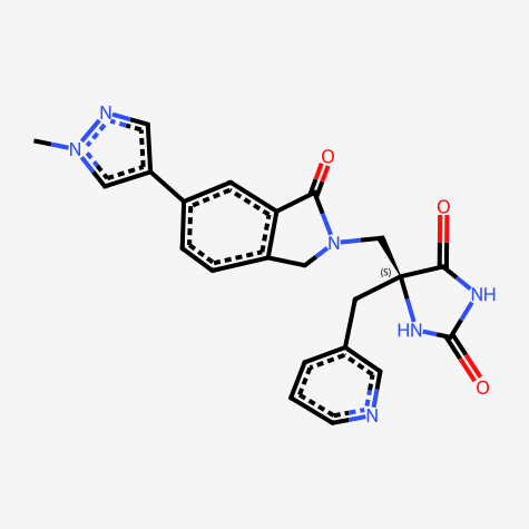 Cn1cc(-c2ccc3c(c2)C(=O)N(C[C@]2(Cc4cccnc4)NC(=O)NC2=O)C3)cn1